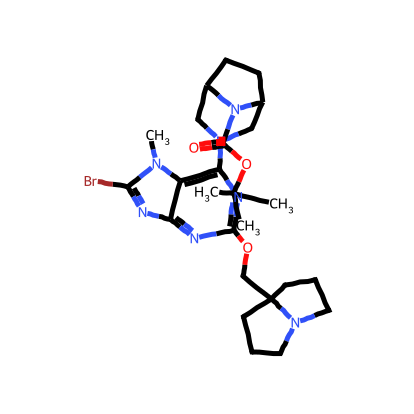 Cn1c(Br)nc2nc(OCC34CCCN3CCC4)nc(N3CC4CCC(C3)N4C(=O)OC(C)(C)C)c21